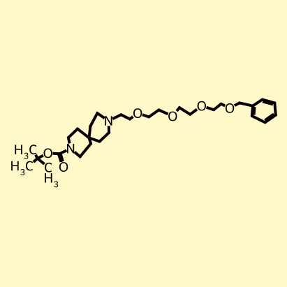 CC(C)(C)OC(=O)N1CCC2(CCN(CCOCCOCCOCCOCc3ccccc3)CC2)CC1